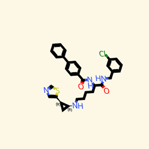 O=C(NC(CCCCN[C@@H]1C[C@H]1c1cncs1)C(=O)NCc1cccc(Cl)c1)c1ccc(-c2ccccc2)cc1